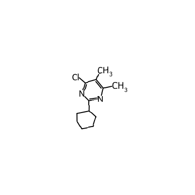 Cc1nc(C2CCCCC2)nc(Cl)c1C